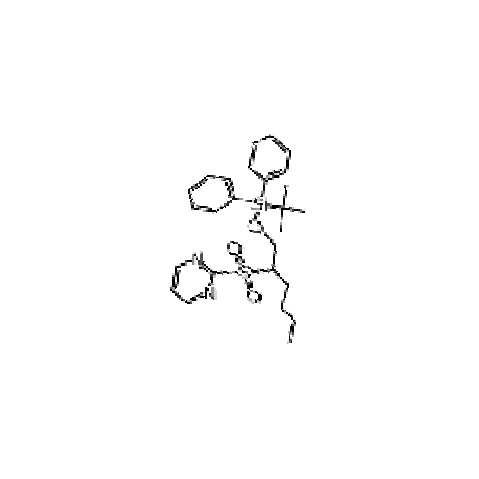 C=CCCC(CO[Si](c1ccccc1)(c1ccccc1)C(C)(C)C)S(=O)(=O)c1ncccn1